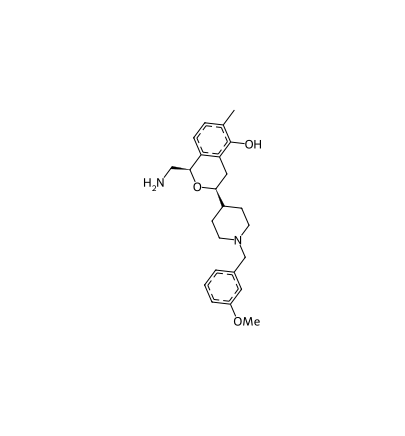 COc1cccc(CN2CCC([C@@H]3Cc4c(ccc(C)c4O)[C@H](CN)O3)CC2)c1